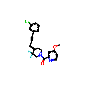 COc1ccnc(C(=O)N2CC/C(=C\C#Cc3cccc(Cl)c3)C(F)(F)C2)c1